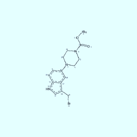 CC(C)(C)OC(=O)N1CCN(c2cnc3[nH]cc(CBr)c3c2)CC1